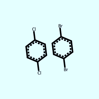 Brc1ccc(Br)cc1.Clc1ccc(Cl)cc1